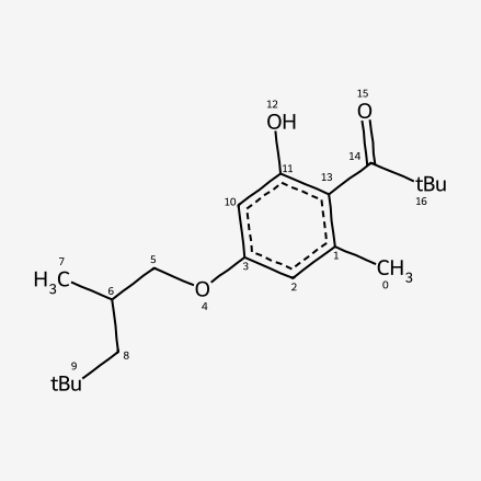 Cc1cc(OCC(C)CC(C)(C)C)cc(O)c1C(=O)C(C)(C)C